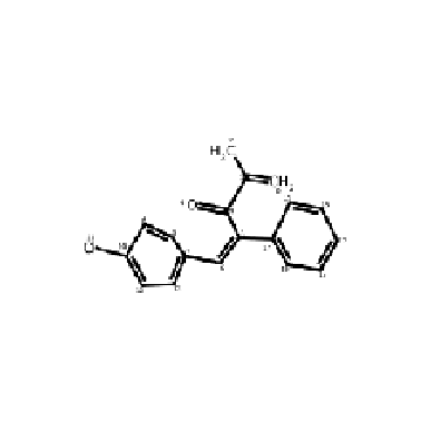 C=C(C)C(=O)/C(=C\c1ccc(Cl)cc1)c1ccccc1